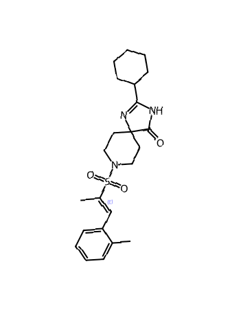 C/C(=C\c1ccccc1C)S(=O)(=O)N1CCC2(CC1)N=C(C1CCCCC1)NC2=O